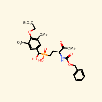 CCOC(=O)COc1c(OC)cc(C(O)P(=O)(O)CC[C@H](NC(=O)OCc2ccccc2)C(=O)OC)cc1[N+](=O)[O-]